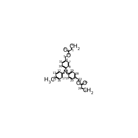 C=CC(=O)OCc1ccc(N(c2ccc(C)cc2)c2ccc(COC(=O)C=C)cc2)cc1